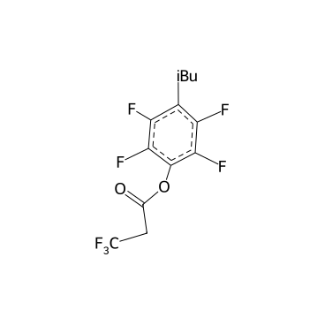 CCC(C)c1c(F)c(F)c(OC(=O)CC(F)(F)F)c(F)c1F